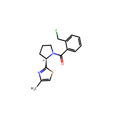 Cc1csc([C@H]2CCCN2C(=O)c2ccccc2CF)n1